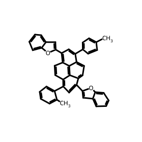 Cc1ccc(-c2cc(-c3cc4ccccc4o3)c3ccc4c(-c5ccccc5C)cc(-c5cc6ccccc6o5)c5ccc2c3c54)cc1